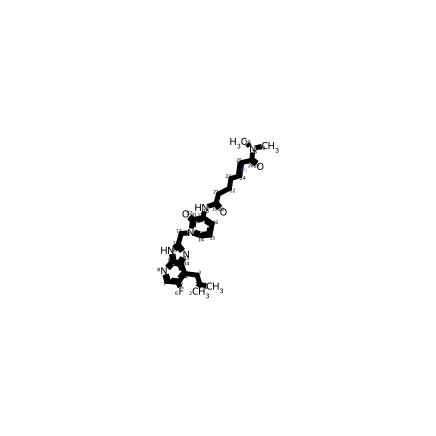 CC(C)Cc1c(F)cnc2[nH]c(Cn3cccc(NC(=O)CCC/C=C/C(=O)N(C)C)c3=O)nc12